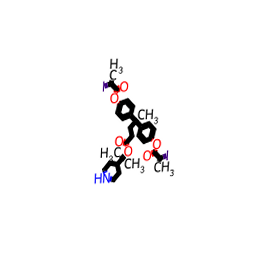 CC(I)C(=O)Oc1ccc(C(C)(CCC(=O)OC(C)(C)C2CCNCC2)c2ccc(OC(=O)C(C)I)cc2)cc1